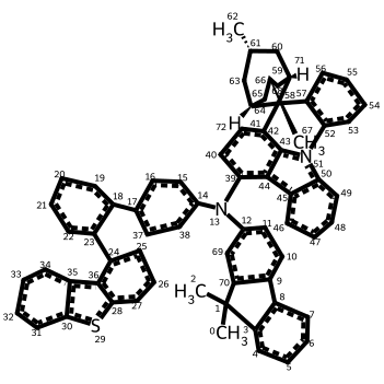 CC1(C)c2ccccc2-c2ccc(N(c3ccc(-c4ccccc4-c4cccc5sc6ccccc6c45)cc3)c3ccc4c5c3c3ccccc3n5-c3ccccc3C43[C@H]4C[C@@H](C)C[C@@H]3C[C@@H](C)C4)cc21